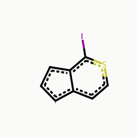 Ic1sccc2[c]ccc1-2